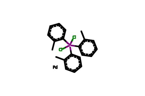 Cc1ccccc1P(Cl)(Cl)(c1ccccc1C)c1ccccc1C.[Pd]